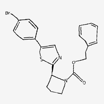 O=C(OCc1ccccc1)N1CCC[C@H]1c1ncc(-c2ccc(Br)cc2)s1